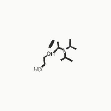 C=C.CC(C)N(C(C)C)C(C)C.OCCO